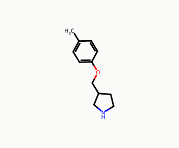 Cc1ccc(OCC2CCNC2)cc1